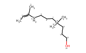 CC=C(C)[SiH2]CCC[Si](C)(C)CCCO